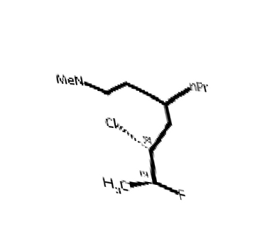 CCCC(CCNC)C[C@@H](Cl)[C@H](C)F